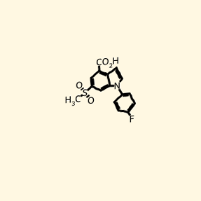 CS(=O)(=O)c1cc(C(=O)O)c2ccn(-c3ccc(F)cc3)c2c1